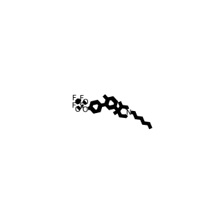 CCCCCCN1CCC(C)(c2ccc(C)c(-c3ccc(OS(=O)(=O)C(F)(F)F)cc3)c2)C(C)C1